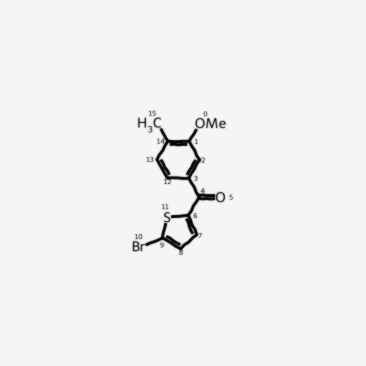 COc1cc(C(=O)c2ccc(Br)s2)ccc1C